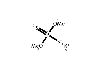 COP(=S)([S-])OC.[K+]